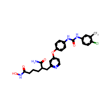 NC(=O)C(CCCC(=O)NO)Cc1cc(Oc2ccc(NC(=O)Nc3ccc(Cl)c(C(F)(F)F)c3)cc2)ccn1